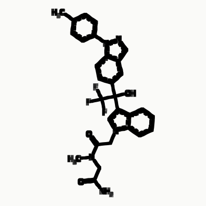 Cc1ccc(-n2ncc3cc(C(O)(c4cn(CC(=O)N(C)CC(N)=O)c5ccccc45)C(F)(F)F)ccc32)cc1